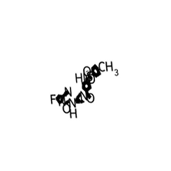 Cc1ccc(S(=O)(=O)Nc2ccc(C(=O)N3CC4C(C3)C4NCC(=O)N3CC(F)CC3C#N)cc2)cc1